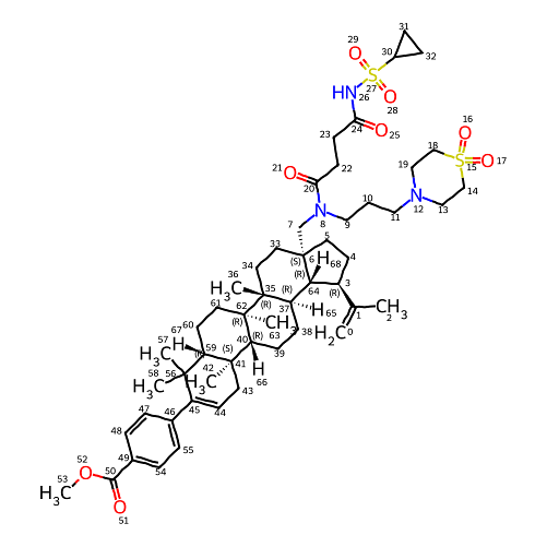 C=C(C)[C@@H]1CC[C@]2(CN(CCCN3CCS(=O)(=O)CC3)C(=O)CCC(=O)NS(=O)(=O)C3CC3)CC[C@]3(C)[C@H](CC[C@@H]4[C@@]5(C)CC=C(c6ccc(C(=O)OC)cc6)C(C)(C)[C@@H]5CC[C@]43C)[C@@H]12